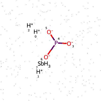 [H+].[H+].[H+].[O-]P([O-])[O-].[SbH3]